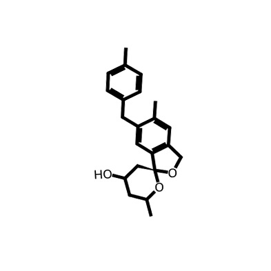 Cc1ccc(Cc2cc3c(cc2C)CO[C@@]32CC(O)CC(C)O2)cc1